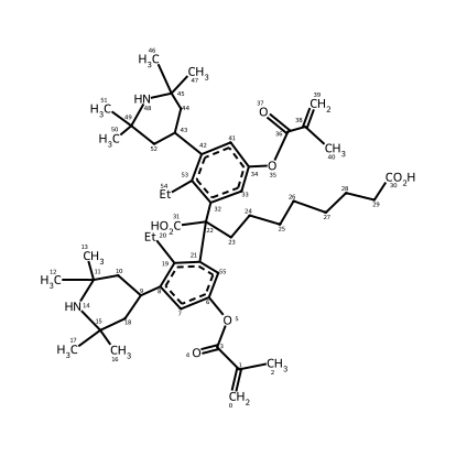 C=C(C)C(=O)Oc1cc(C2CC(C)(C)NC(C)(C)C2)c(CC)c(C(CCCCCCCC(=O)O)(C(=O)O)c2cc(OC(=O)C(=C)C)cc(C3CC(C)(C)NC(C)(C)C3)c2CC)c1